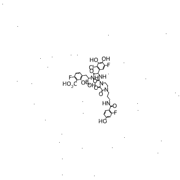 O=C(NCCCN1CCN(C(=O)NC(C(=O)NC2Cc3ccc(F)c(C(=O)O)c3OB2O)c2cc(F)c(O)c(O)c2Cl)C(=O)C1=O)c1ccc(O)cc1F